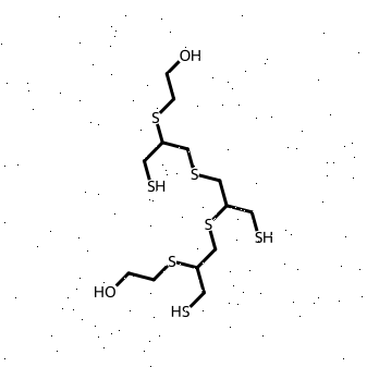 OCCSC(CS)CSCC(CS)SCC(CS)SCCO